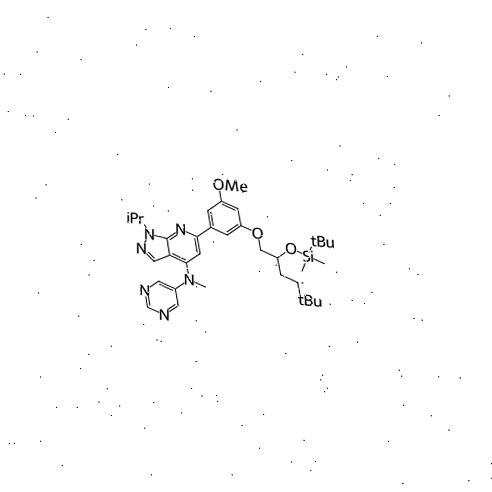 COc1cc(OCC(C[CH]C(C)(C)C)O[Si](C)(C)C(C)(C)C)cc(-c2cc(N(C)c3cncnc3)c3cnn(C(C)C)c3n2)c1